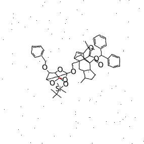 CC(C)C1=CC2CC3(C=O)C4CCC(C)C4CC2(COC24OC5OC(C(OCc6ccccc6)C5O2)C4O[Si](C)(C)C(C)(C)C)C13C(=O)OC(c1ccccc1)c1ccccc1